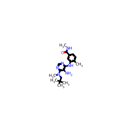 CNC(=O)c1ccc(C)c(Nc2ncnc(N(C)CC(C)(C)C)c2N)c1